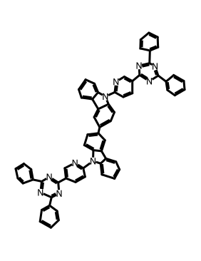 c1ccc(-c2nc(-c3ccccc3)nc(-c3ccc(-n4c5ccccc5c5cc(-c6ccc7c(c6)c6ccccc6n7-c6ccc(-c7nc(-c8ccccc8)nc(-c8ccccc8)n7)cn6)ccc54)nc3)n2)cc1